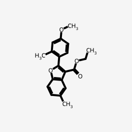 CCOC(=O)c1c(-c2ccc(OC)cc2C)oc2ccc(C)cc12